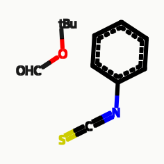 CC(C)(C)OC=O.S=C=Nc1ccccc1